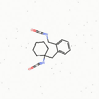 O=C=NCc1ccccc1CC1(N=C=O)CCCCC1